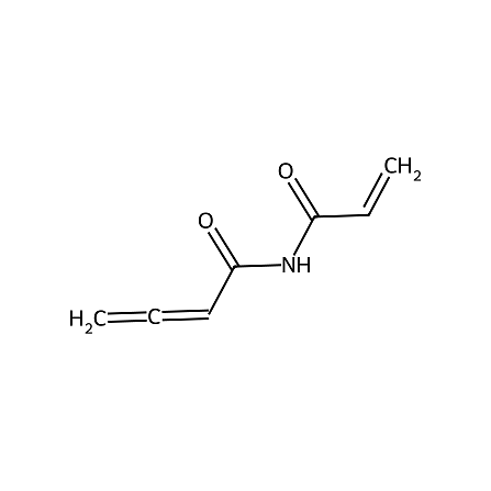 C=C=CC(=O)NC(=O)C=C